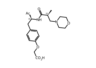 CC(=O)[C@H](Cc1ccc(OCC(=O)O)cc1)NC(=O)[C@@H](C)CN1CCOCC1